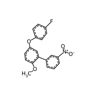 COc1ccc(Oc2ccc(F)cc2)cc1-c1cccc([N+](=O)[O-])c1